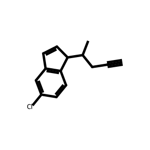 C#CCC(C)C1C=Cc2cc(Cl)ccc21